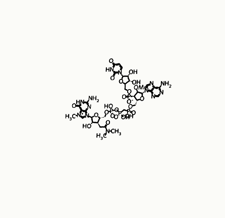 CO[C@@H]1[C@H](P(=O)([O-])OC[C@H]2O[C@@H](n3ccc(=O)[nH]c3=O)[C@H](O)[C@@H]2O)[C@@H](COP(=O)(O)CP(=O)(O)OP(=O)(O)OC[C@H]2OC(n3c[n+](C)c4c(=O)[nH]c(N)nc43)[C@H](O)[C@@H]2CC(=O)N(C)C)O[C@H]1n1cnc2c(N)ncnc21